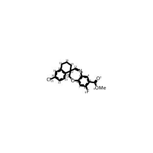 COC(=O)c1cc2c(cc1F)OCC1(C=N2)CCCc2cc(Cl)ccc21